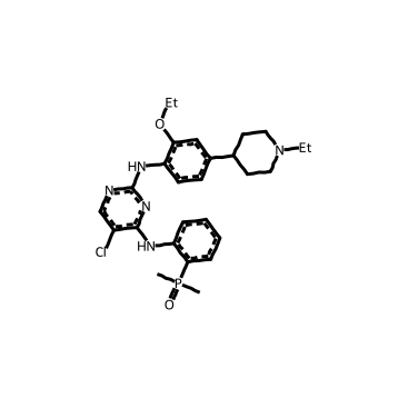 CCOc1cc(C2CCN(CC)CC2)ccc1Nc1ncc(Cl)c(Nc2ccccc2P(C)(C)=O)n1